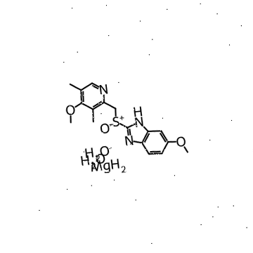 COc1ccc2nc([S@+]([O-])Cc3ncc(C)c(OC)c3C)[nH]c2c1.O.O.[MgH2]